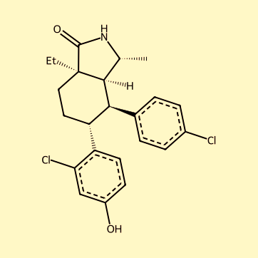 CC[C@@]12CC[C@@H](c3ccc(O)cc3Cl)[C@H](c3ccc(Cl)cc3)[C@@H]1[C@@H](C)NC2=O